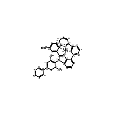 CC(C)C1=C(n2c3[n+]4c5c(cccc52)-c2cccc5c2[PH]4(Oc2c-3cc(C(C)(C)C)cc2C(C)(C)C)[N+]2=C5C=CCC2)C(C(C)C)CC(c2ccccc2)=C1